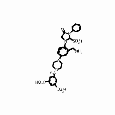 Cc1cc(C(=O)O)cc(C(=O)O)c1.NCc1cc(N2CCOCC2)ccc1N1CC(=O)N(c2ccccc2)C1S(=O)(=O)O